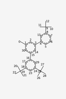 Cc1cc(-c2cccc(C(C)(C)C)c2)cc(-c2cc(C(C)(C)C)cc(C(C)(C)C)c2)c1